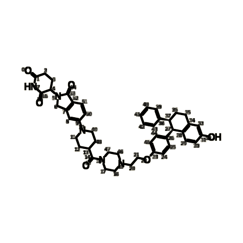 O=C1CCC(N2Cc3cc(N4CCC(C(=O)N5CCN(CCOc6ccc([C@@H]7c8ccc(O)cc8CC[C@@H]7c7ccccc7)cc6)CC5)CC4)ccc3C2=O)C(=O)N1